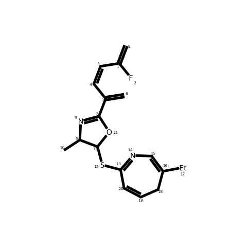 C=C(F)/C=C\C(=C)C1=NC(C)C(SC2=NC=C(CC)CC=C2)O1